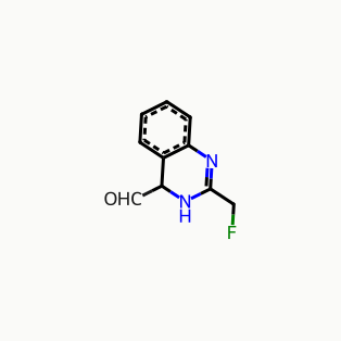 O=CC1NC(CF)=Nc2ccccc21